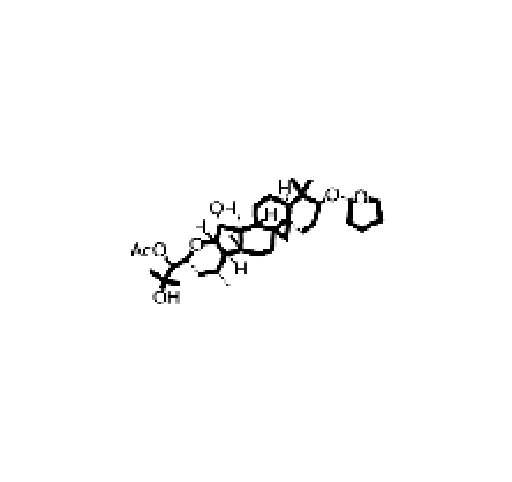 CC(=O)O[C@@H]([C@H]1C[C@@H](C)[C@H]2[C@H](O1)[C@H](O)[C@@]1(C)[C@@H]3CC[C@H]4C(C)(C)[C@@H](O[C@H]5CCCCO5)CC[C@@]45CC35CC[C@]21C)C(C)(C)O